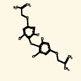 C=C(C)COc1cc(Cl)c(Sc2c(Cl)cc(OCC(=C)C)cc2Cl)c(Cl)c1